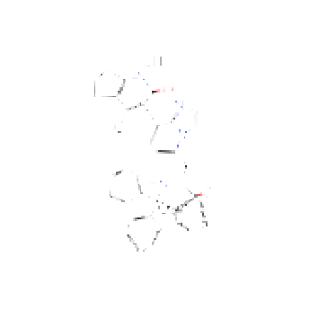 COC(=O)[C@H](Cc1ccc(-c2c(C(F)(F)F)c3c(n(C)c2=O)CCC3)c2nccn12)NC(c1ccccc1)(c1ccccc1)c1ccccc1